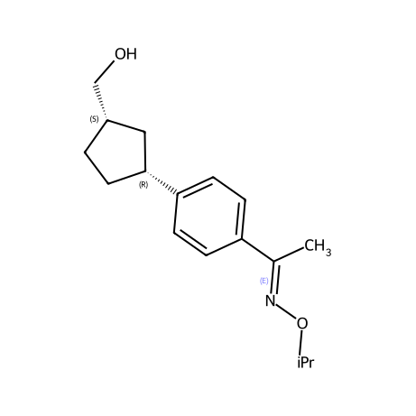 C/C(=N\OC(C)C)c1ccc([C@@H]2CC[C@H](CO)C2)cc1